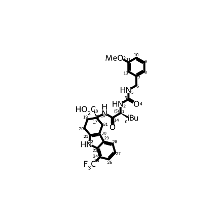 CCC(C)[C@H](NC(=O)NCc1cccc(OC)c1)C(=O)N[C@]1(C(=O)O)CCc2[nH]c3c(C(F)(F)F)cccc3c2C1